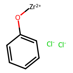 [Cl-].[Cl-].[Zr+2][O]c1ccccc1